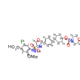 COc1cc(C(=O)O)c(F)cc1NS(=O)(=O)c1coc(-c2ccc(C3CCC(OC(=O)N4CCOCC4)CC3)cc2)n1